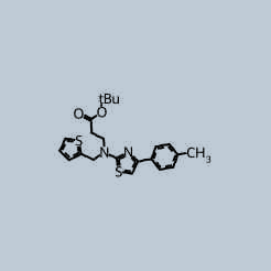 Cc1ccc(-c2csc(N(CCC(=O)OC(C)(C)C)Cc3cccs3)n2)cc1